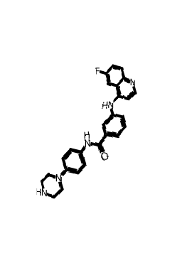 O=C(Nc1ccc(N2CCNCC2)cc1)c1cccc(Nc2ccnc3ccc(F)cc23)c1